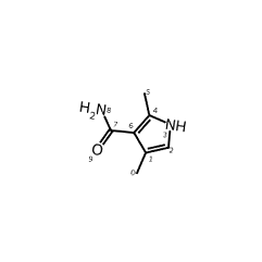 Cc1c[nH]c(C)c1C(N)=O